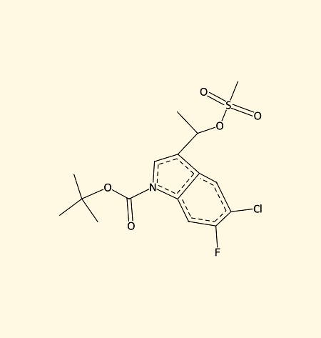 CC(OS(C)(=O)=O)c1cn(C(=O)OC(C)(C)C)c2cc(F)c(Cl)cc12